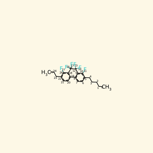 CCCCCc1ccc2c(c1F)C(F)(F)C(F)(F)c1c-2ccc(CCC)c1F